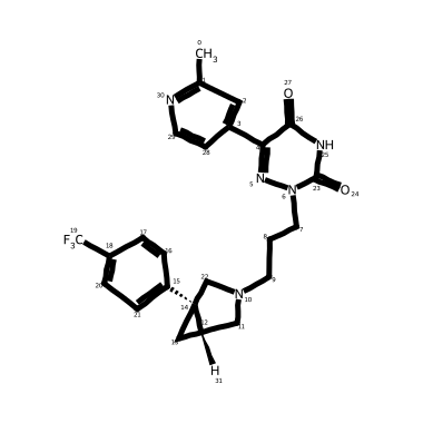 Cc1cc(-c2nn(CCCN3C[C@@H]4C[C@@]4(c4ccc(C(F)(F)F)cc4)C3)c(=O)[nH]c2=O)ccn1